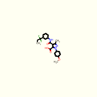 CCC(F)(F)c1cccc(NC(=O)c2c(C)nn(-c3ccc(OC)cc3)c2C(=O)O)c1